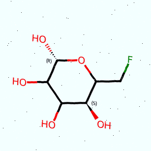 OC1C(O)[C@H](O)OC(CF)[C@H]1O